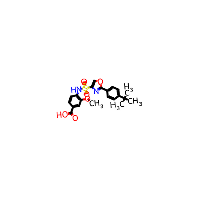 COc1cc(C(=O)O)ccc1NS(=O)(=O)c1coc(-c2ccc(C(C)(C)C)cc2)n1